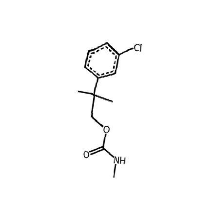 CNC(=O)OCC(C)(C)c1cccc(Cl)c1